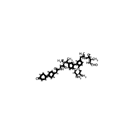 CC(Cc1ccc(OCCN)c(-c2cc(C(C)N(C)C(=O)CNC(=O)Cc3ccc(-c4ccc(Cl)cc4)cc3)ccc2OCCN)c1)NC(=O)[C@H](C)NC=O